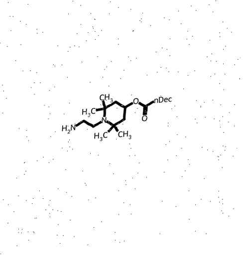 CCCCCCCCCCC(=O)OC1CC(C)(C)N(CCN)C(C)(C)C1